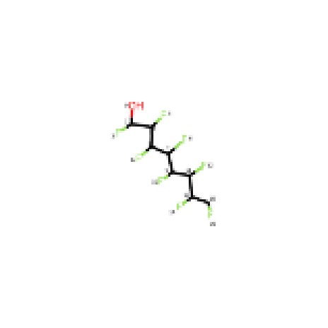 OC(F)C(F)C(F)C(F)C(F)C(F)C(F)CF